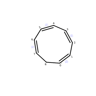 [C]1=C/C=C\C=C/C=C\C\1